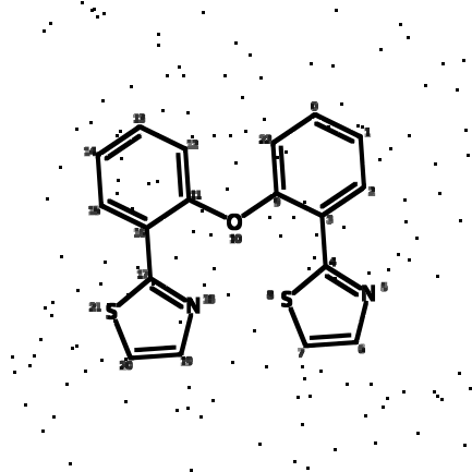 c1ccc(-c2nccs2)c(Oc2ccccc2-c2nccs2)c1